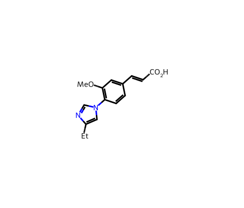 CCc1cn(-c2ccc(/C=C/C(=O)O)cc2OC)cn1